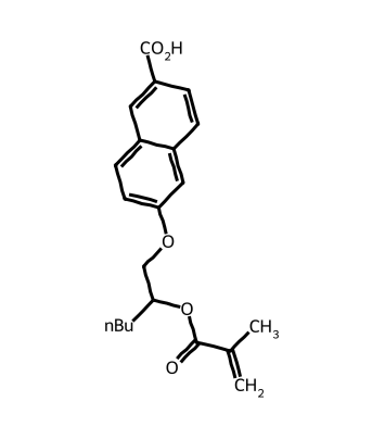 C=C(C)C(=O)OC(CCCC)COc1ccc2cc(C(=O)O)ccc2c1